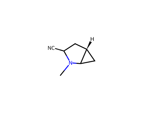 CN1C(C#N)C[C@@H]2CC21